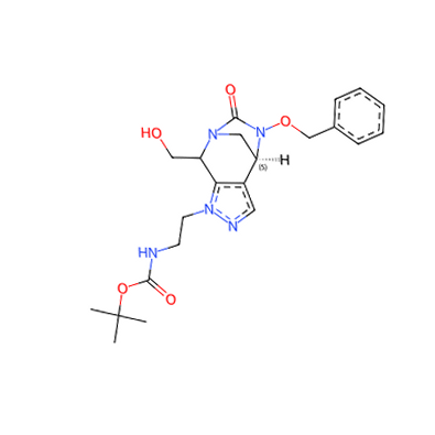 CC(C)(C)OC(=O)NCCn1ncc2c1C(CO)N1C[C@H]2N(OCc2ccccc2)C1=O